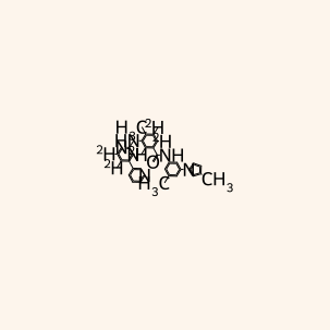 [2H]c1nc(Nc2c([2H])c(C(=O)Nc3cc(C)cc(-n4ccc(C)c4)c3)c([2H])c([2H])c2C)nc(-c2cccnc2)c1[2H]